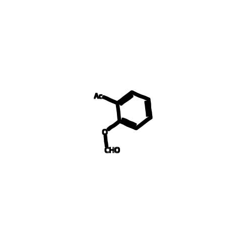 CC(=O)c1ccccc1OC=O